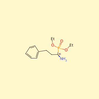 CCOP(=O)(OCC)[C@@H](N)CCc1ccccc1